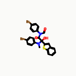 CN(c1ccc(Br)cc1)C(O)(C(=O)N(C=O)c1ccc(Br)cc1)c1cc2ccccc2s1